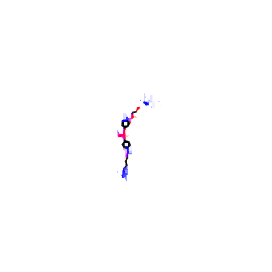 N=C(N)NCCCCC(=O)Nc1ccc(-c2nnc(-c3ccc(NC(=O)CCCCNC(=N)N)cc3)o2)cc1